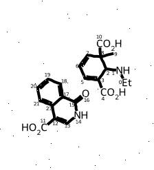 CCNC1C(C(=O)O)=CC=CC1(C)C(=O)O.O=C(O)c1c[nH]c(=O)c2ccccc12